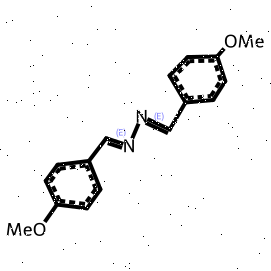 COc1ccc(/C=N/N=C/c2ccc(OC)cc2)cc1